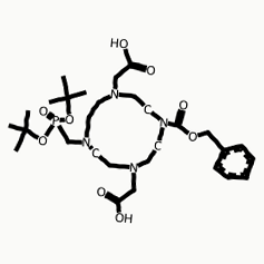 CC(C)(C)OP(=O)(CN1CCN(CC(=O)O)CCN(C(=O)OCc2ccccc2)CCN(CC(=O)O)CC1)OC(C)(C)C